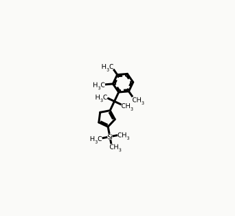 Cc1ccc(C)c(C(C)(C)C2=CC([Si](C)(C)C)=CC2)c1C